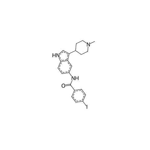 CN1CCC(c2c[nH]c3ccc(NC(=O)c4ccc(I)cc4)cc23)CC1